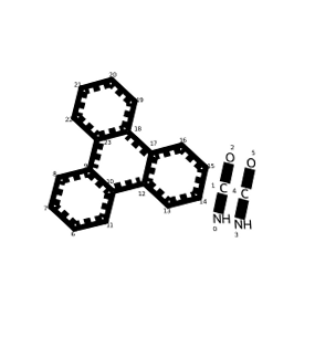 N=C=O.N=C=O.c1ccc2c(c1)c1ccccc1c1ccccc21